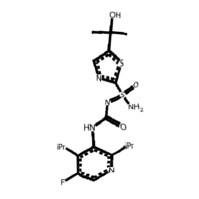 CC(C)c1ncc(F)c(C(C)C)c1NC(=O)N=S(N)(=O)c1ncc(C(C)(C)O)s1